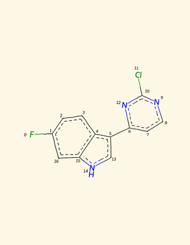 Fc1ccc2c(-c3ccnc(Cl)n3)c[nH]c2c1